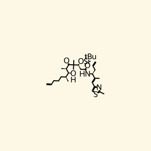 C=CCCC[C@H](C)[C@H](O)[C@@H](C)C(=O)C(C)(C)[C@H](CC(=O)N[C@@H](CC=C)/C(C)=C/c1csc(C)n1)O[Si](C)(C)C(C)(C)C